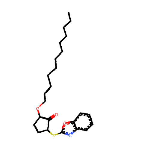 CCCCCCCCCCCCOC1CCC(Sc2nc3ccccc3o2)C1=O